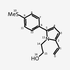 C=Cc1ccc(-c2ccc(SC)cc2)n1CCO